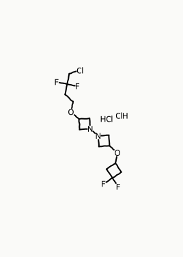 Cl.Cl.FC(F)(CCl)CCOC1CN(N2CC(OC3CC(F)(F)C3)C2)C1